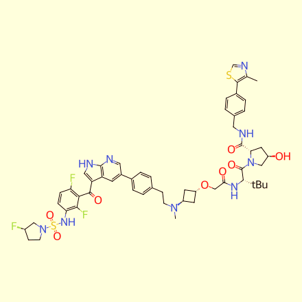 Cc1ncsc1-c1ccc(CNC(=O)[C@@H]2C[C@@H](O)CN2C(=O)[C@@H](NC(=O)CO[C@H]2C[C@H](N(C)CCc3ccc(-c4cnc5[nH]cc(C(=O)c6c(F)ccc(NS(=O)(=O)N7CC[C@@H](F)C7)c6F)c5c4)cc3)C2)C(C)(C)C)cc1